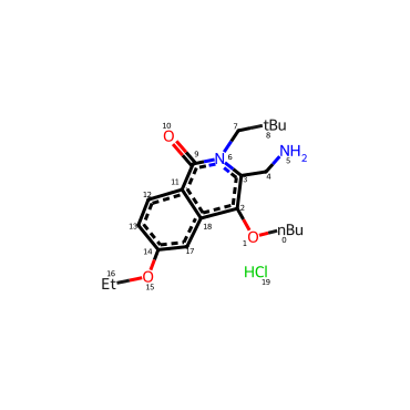 CCCCOc1c(CN)n(CC(C)(C)C)c(=O)c2ccc(OCC)cc12.Cl